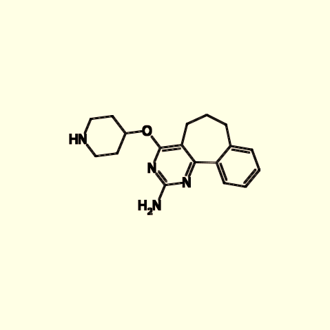 Nc1nc(OC2CCNCC2)c2c(n1)-c1ccccc1CCC2